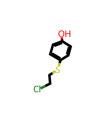 Oc1ccc(SCCCl)cc1